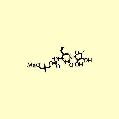 C=Cc1cn([C@@H]2O[C@H](C)C(O)C2O)c(=O)nc1NC(=O)OCC(C)(C)COC